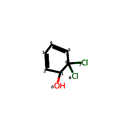 OC1C=CC=CC1(Cl)Cl